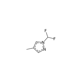 Cc1cnn(C(F)F)c1